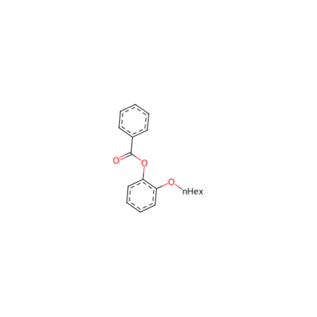 CCCCCCOc1ccccc1OC(=O)c1ccccc1